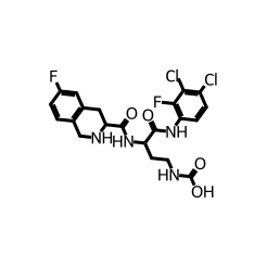 O=C(O)NCCC(NC(=O)C1Cc2cc(F)ccc2CN1)C(=O)Nc1ccc(Cl)c(Cl)c1F